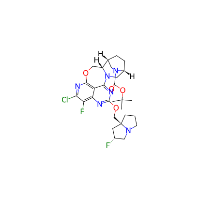 CC(C)(C)OC(=O)N1C[C@H]2CC[C@@H]1CN1c3nc(OC[C@@]45CCCN4C[C@H](F)C5)nc4c(F)c(Cl)nc(c34)OC[C@H]21